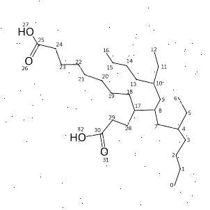 CCCCC(CC)CC(CC(CC)CCCC)C(CCCCCCCC(=O)O)CCC(=O)O